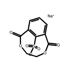 O=C1OCCOC(=O)c2cccc1c2S(=O)(=O)[O-].[Na+]